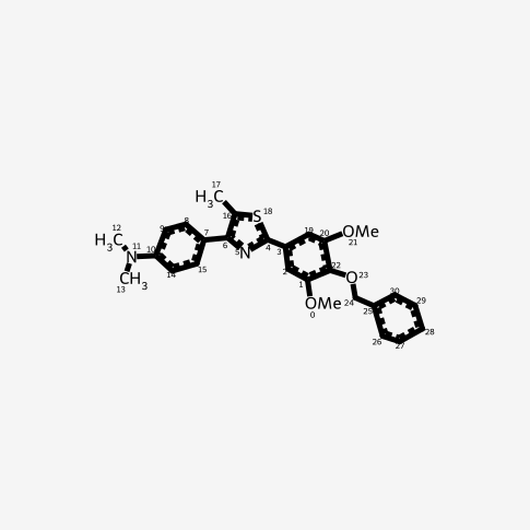 COc1cc(-c2nc(-c3ccc(N(C)C)cc3)c(C)s2)cc(OC)c1OCc1ccccc1